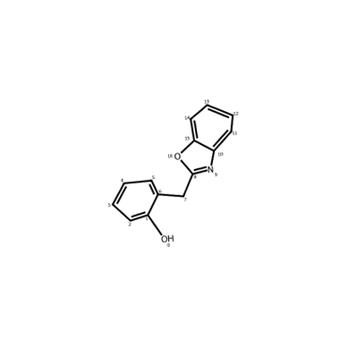 Oc1ccccc1Cc1nc2ccccc2o1